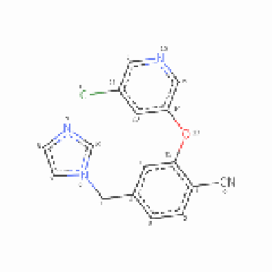 N#Cc1ccc(Cn2ccnc2)cc1Oc1cncc(Cl)c1